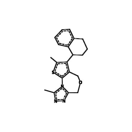 Cc1sc2c(c1C1CCCc3ccccc31)COCc1nnc(C)n1-2